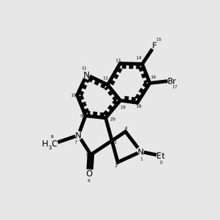 CCN1CC2(C1)C(=O)N(C)c1cnc3cc(F)c(Br)cc3c12